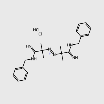 CC(C)(/N=N/C(C)(C)C(=N)NCc1ccccc1)C(=N)NCc1ccccc1.Cl.Cl